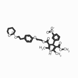 COC(=O)C1=C(C)NC(C)=C(C(=O)OCCOc2ccc(CCO[C@H]3CCCCO3)cc2)C1c1cccc([N+](=O)[O-])c1